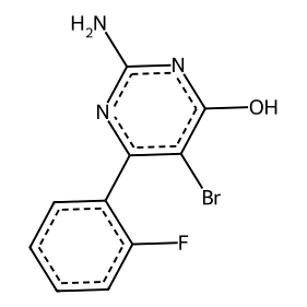 Nc1nc(O)c(Br)c(-c2ccccc2F)n1